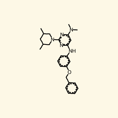 CC1CC(C)CN(c2nc(Nc3cccc(OCc4ccccc4)c3)cc(N(C)C)n2)C1